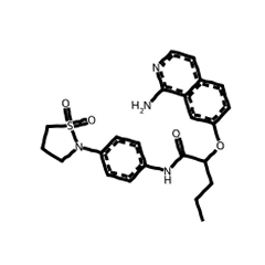 CCCC(Oc1ccc2ccnc(N)c2c1)C(=O)Nc1ccc(N2CCCS2(=O)=O)cc1